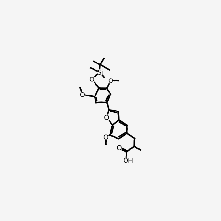 COc1cc(-c2cc3cc(CC(C)C(=O)O)cc(OC)c3o2)cc(OC)c1O[Si](C)(C)C(C)(C)C